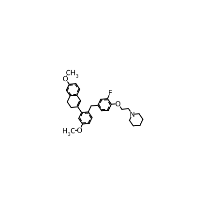 COc1ccc2c(c1)CCC(c1cc(OC)ccc1Cc1ccc(OCCN3CCCCC3)c(F)c1)=C2